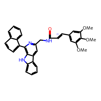 COc1cc(/C=C/C(=O)NCc2cc3c([nH]c4ccccc43)c(-c3cccc4ccccc34)n2)cc(OC)c1OC